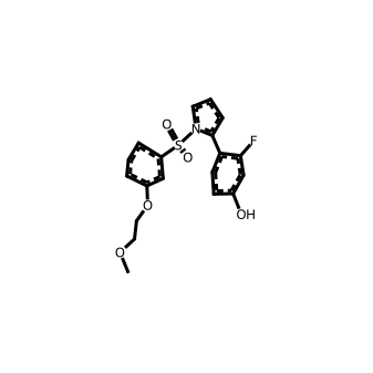 COCCOc1cccc(S(=O)(=O)n2cccc2-c2ccc(O)cc2F)c1